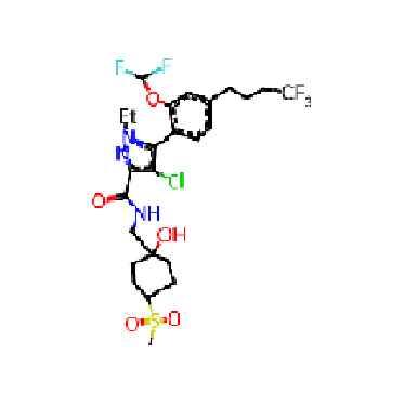 CCn1nc(C(=O)NCC2(O)CCC(S(C)(=O)=O)CC2)c(Cl)c1-c1ccc(CCCC(F)(F)F)cc1OC(F)F